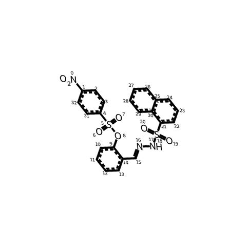 O=[N+]([O-])c1ccc(S(=O)(=O)Oc2ccccc2/C=N/NS(=O)(=O)c2cccc3ccccc23)cc1